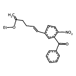 C=C(CCC=Cc1ccc([N+](=O)[O-])c(C(=O)c2ccccc2)c1)OCC